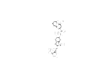 O=C(NCc1ccc2cc(CN[C@@H]3CCC[C@H]3O)[nH]c2c1)c1cc(=O)n2ccccc2n1